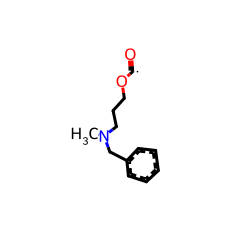 CN(CCCO[C]=O)Cc1ccccc1